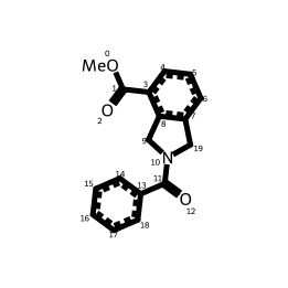 COC(=O)c1cccc2c1CN(C(=O)c1ccccc1)C2